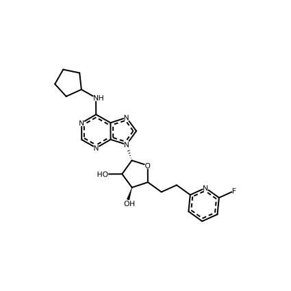 OC1[C@H](O)C(CCc2cccc(F)n2)O[C@H]1n1cnc2c(NC3CCCC3)ncnc21